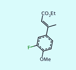 CCOC(=O)C=C(C)c1ccc(OC)c(F)c1